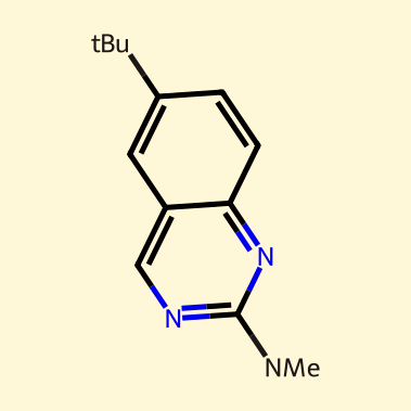 CNc1ncc2cc(C(C)(C)C)ccc2n1